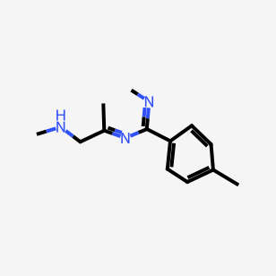 C/N=C(\N=C(/C)CNC)c1ccc(C)cc1